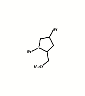 COCC1CC(C(C)C)CN1C(C)C